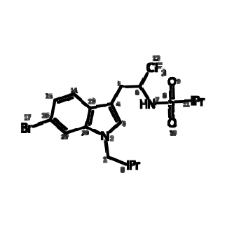 CC(C)Cn1cc(CC(NS(=O)(=O)C(C)C)C(F)(F)F)c2ccc(Br)cc21